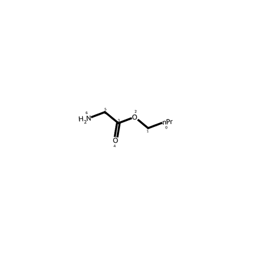 CCCCOC(=O)[CH]N